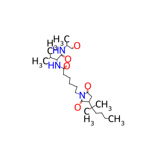 CCCCC(C)(C)C1CC(=O)N(CCCCCC(=O)NC(C(=O)N[C@@H](C)C=O)C(C)C)C1=O